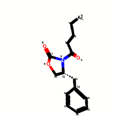 CC(=O)CCCC(=O)N1C(=O)OC[C@H]1Cc1ccccc1